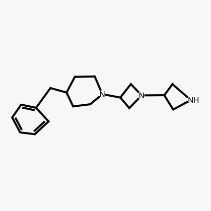 c1ccc(CC2CCN(C3CN(C4CNC4)C3)CC2)cc1